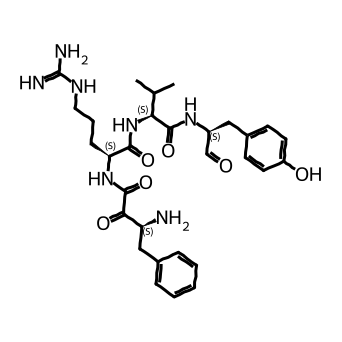 CC(C)[C@H](NC(=O)[C@H](CCCNC(=N)N)NC(=O)C(=O)[C@@H](N)Cc1ccccc1)C(=O)N[C@H](C=O)Cc1ccc(O)cc1